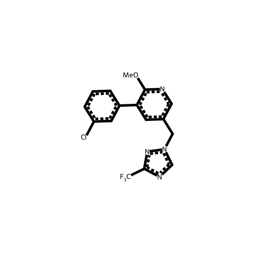 COc1ncc(Cn2cnc(C(F)(F)F)n2)cc1-c1cccc(Cl)c1